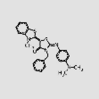 CN(C)c1ccc(/N=C2/S/C(=C3\Sc4ccccc4N3C)C(=O)N2Cc2ccccc2)cc1